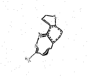 CC1=NN=c2c(ccc3c2=CCS3)C=C1